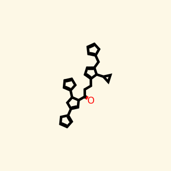 O=C(CCC1=CC=C(CC2=CC=CC2)C1C1CC1)C1C=C(C2=CC=CC2)CC1C1=CC=CC1